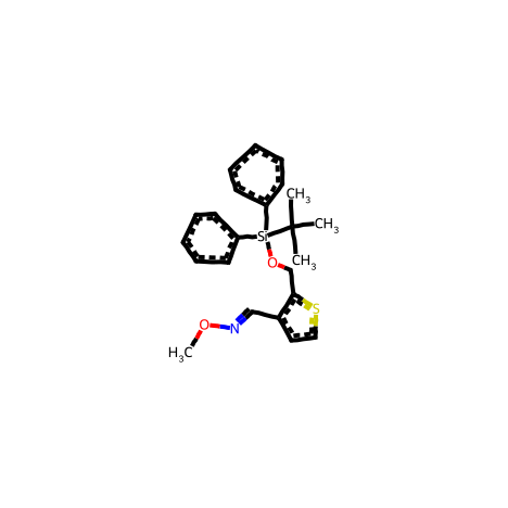 CO/N=C/c1ccsc1CO[Si](c1ccccc1)(c1ccccc1)C(C)(C)C